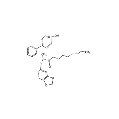 CCCCCCCC[S+]([O-])C(C)Cc1ccc2c(c1)OCO2.Oc1ccc(-c2ccccc2)cc1